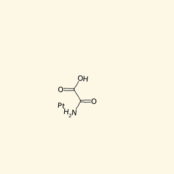 NC(=O)C(=O)O.[Pt]